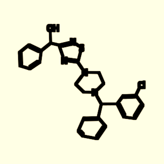 OC(c1ccccc1)c1nsc(N2CCN(C(c3ccccc3)c3cccc(Cl)c3)CC2)n1